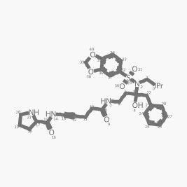 CC(C)CN(C(O)(CCNC(=O)CCC#CNC(=O)C1CCCN1)Cc1ccccc1)S(=O)(=O)c1ccc2c(c1)OCO2